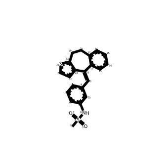 CS(=O)(=O)Nc1cccc(C=C2c3ccccc3CCc3sccc32)c1